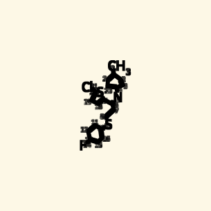 Cc1ccc(/N=C(/C=C/Sc2ccc(F)cc2)c2ccc(Cl)s2)cc1